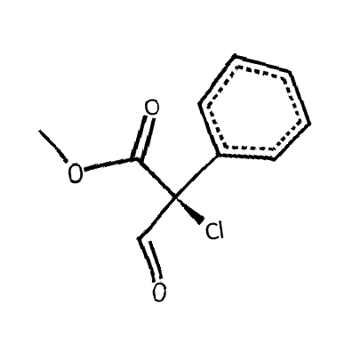 COC(=O)[C@@](Cl)(C=O)c1ccccc1